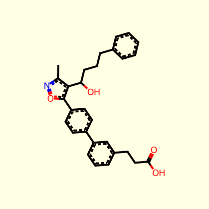 Cc1noc(-c2ccc(-c3cccc(CCC(=O)O)c3)cc2)c1C(O)CCCc1ccccc1